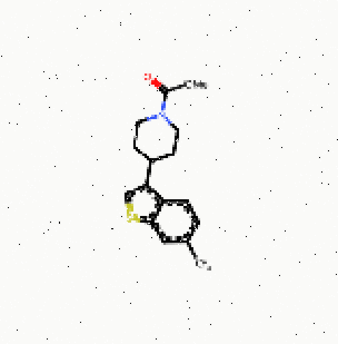 COC(=O)N1CCC(c2csc3cc(C(F)(F)F)ccc23)CC1